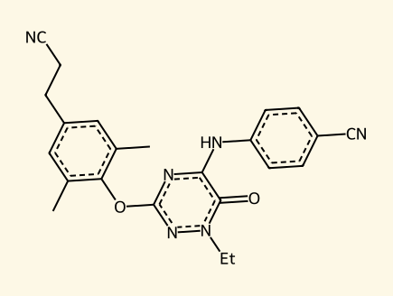 CCn1nc(Oc2c(C)cc(CCC#N)cc2C)nc(Nc2ccc(C#N)cc2)c1=O